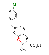 CCOC(=O)C1=Cc2ccc(Cc3ccc(Cl)cc3)cc2OC1C(F)(F)F